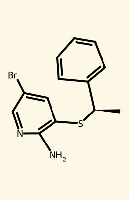 C[C@@H](Sc1cc(Br)cnc1N)c1ccccc1